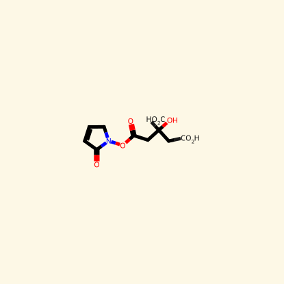 O=C(O)CC(O)(CC(=O)ON1CC=CC1=O)C(=O)O